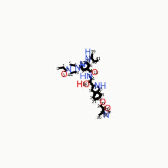 CCC(=O)N1CCN(c2cc(C(=O)NC[C@@H](O)C3Cc4ccc(OCc5ocnc5C)cc4CN3)cc(NC(C)CC)n2)CC1